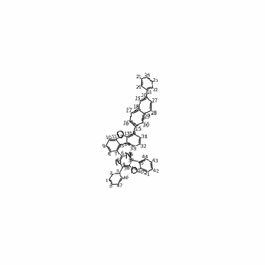 C1=CCC(c2nc(-c3cccc4oc5c(-c6ccc7cc(-c8ccccc8)ccc7c6)cccc5c34)nc3c2oc2ccccc23)C=C1